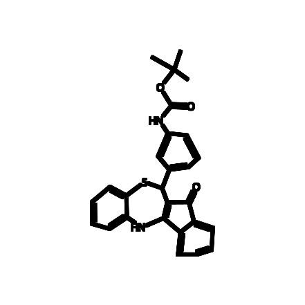 CC(C)(C)OC(=O)Nc1cccc(C2Sc3ccccc3NC3=C2C(=O)c2ccccc23)c1